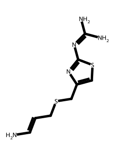 NC=CCSCc1csc(N=C(N)N)n1